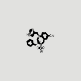 CC(C)S(=O)(=O)N1Cc2cc(C#N)ccc2N(Cc2c[nH]cn2)C[C@H]1Cc1ccccc1